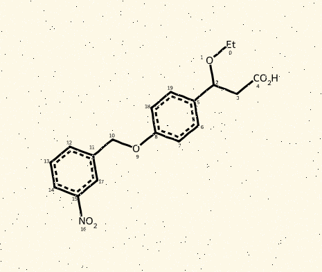 CCOC(CC(=O)O)c1ccc(OCc2cccc([N+](=O)[O-])c2)cc1